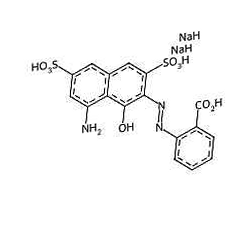 Nc1cc(S(=O)(=O)O)cc2cc(S(=O)(=O)O)c(/N=N/c3ccccc3C(=O)O)c(O)c12.[NaH].[NaH]